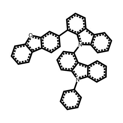 c1ccc(-n2c3ccccc3c3c(-n4c5ccccc5c5cccc(-c6ccc7c(c6)oc6ccccc67)c54)cccc32)cc1